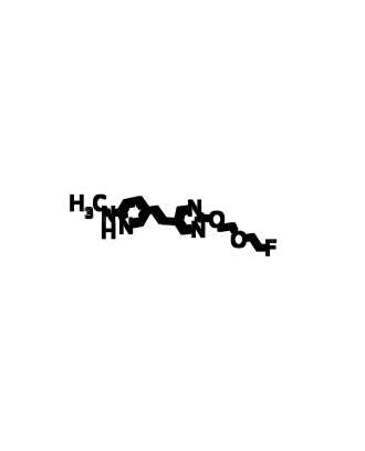 CNc1ccc(C=Cc2cnc(OCCOCCF)nc2)cn1